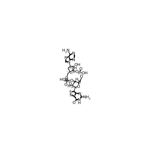 CO[C@H]1[C@H]2OP(=O)(O)OC[C@@]3(C)C[C@@H](n4cnc5c(N)ncnc54)[C@H](O)[C@@H]3OP(=O)(O)OC[C@H]1O[C@H]2c1snc2c(=O)[nH]c(N)nc12